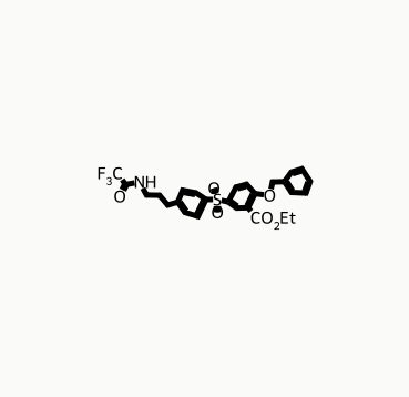 CCOC(=O)c1cc(S(=O)(=O)c2ccc(CCCNC(=O)C(F)(F)F)cc2)ccc1OCc1ccccc1